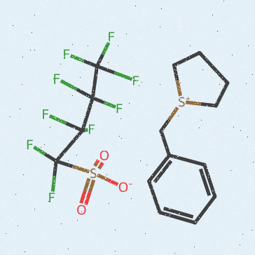 O=S(=O)([O-])C(F)(F)C(F)(F)C(F)(F)C(F)(F)F.c1ccc(C[S+]2CCCC2)cc1